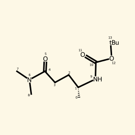 C[C@H](CCC(=O)N(C)C)NC(=O)OC(C)(C)C